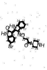 O=C1Nc2cc(Br)ccc2/C1=C1/Nc2ccccc2/C1=N\OCCC(=O)N1CCNCC1